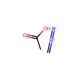 C=[N+]=[N-].CC(=O)O